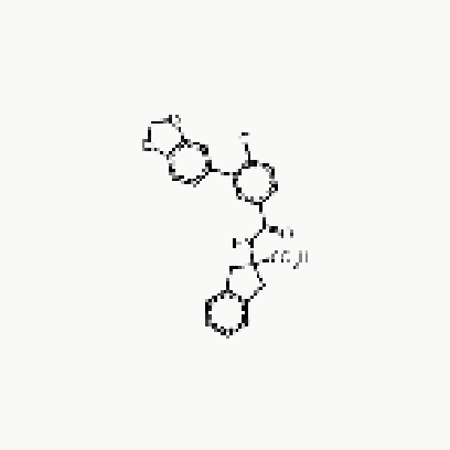 O=C(NC1(C(=O)O)Cc2ccccc2C1)c1ccc(Cl)c(-c2ccc3c(c2)OCO3)c1